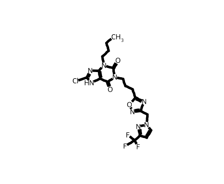 CCCCn1c(=O)n(CCCc2nc(Cn3ccc(C(F)(F)F)n3)no2)c(=O)c2[nH]c(Cl)nc21